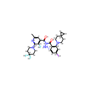 Cc1cc(C(=O)N(N)C(=O)c2ccc(I)cc2N2CCC3(CC2)CC3)c(F)c(N2CCC(F)(F)CC2)n1